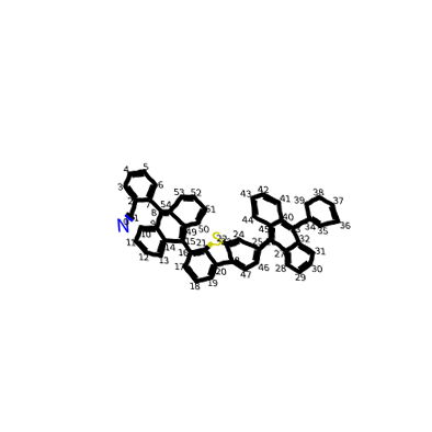 N#Cc1ccccc1-c1c2ccccc2c(-c2cccc3c2sc2cc(-c4c5ccccc5c(C5=CC=CCC5)c5ccccc45)ccc23)c2ccccc12